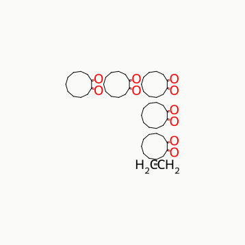 C=C.O=C1CCCCCCCCCC1=O.O=C1CCCCCCCCCC1=O.O=C1CCCCCCCCCC1=O.O=C1CCCCCCCCCC1=O.O=C1CCCCCCCCCC1=O